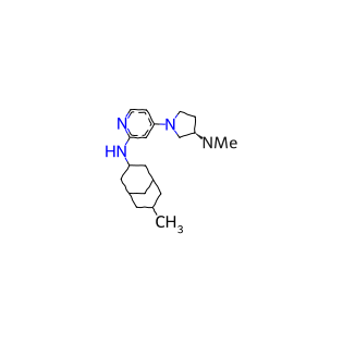 CN[C@@H]1CCN(c2ccnc(NC3CC4CC(C)CC(C4)C3)c2)C1